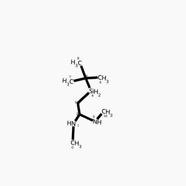 CNC(C[SiH2]C(C)(C)C)NC